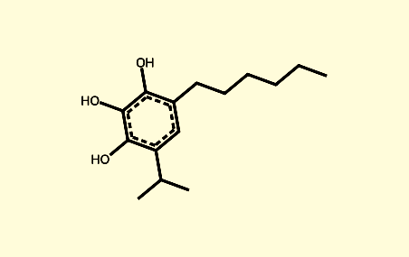 CCCCCCc1cc(C(C)C)c(O)c(O)c1O